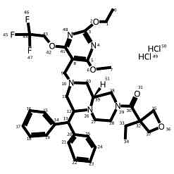 CCOc1nc(OC)c(CN2CC(C(c3ccccc3)c3ccccc3)N3CCN(C(=O)C4(CC)COC4)C[C@H]3C2)c(OCC(F)(F)F)n1.Cl.Cl